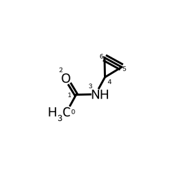 CC(=O)NC1C#C1